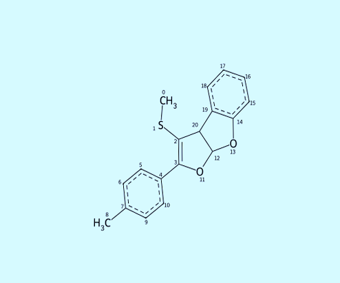 CSC1=C(c2ccc(C)cc2)OC2Oc3ccccc3C12